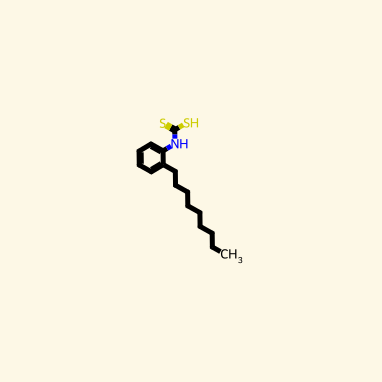 CCCCCCCCCc1ccccc1NC(=S)S